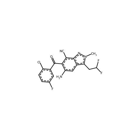 Cn1nc2c(C#N)c(C(=O)c3cc(F)ccc3Cl)c(N)cc2c1CC(F)F